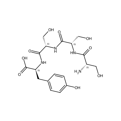 N[C@@H](CO)C(=O)N[C@@H](CO)C(=O)N[C@@H](CO)C(=O)N[C@@H](Cc1ccc(O)cc1)C(=O)O